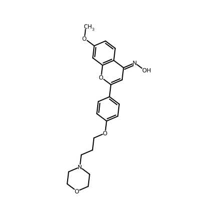 COc1ccc2c(=NO)cc(-c3ccc(OCCCN4CCOCC4)cc3)oc2c1